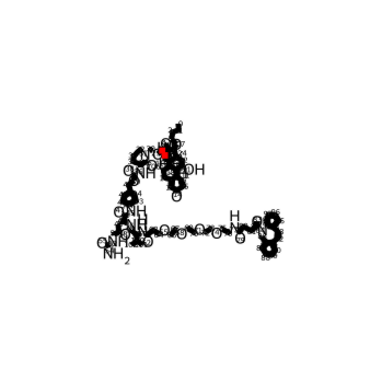 CCCC1O[C@@H]2C[C@H]3[C@@H]4CCC5=CC(=O)C=C[C@]5(C)[C@H]4[C@@H](O)C[C@]3(C)[C@]2(C(=O)COCN2CCCC(NC(=O)OCc3ccc(NC(=O)[C@H](CCCNC(N)=O)NC(=O)[C@@H](NC(=O)CCOCCOCCOCCOCCNC(=O)CCC(=O)N4Cc5ccccc5C#Cc5ccccc54)C(C)C)cc3)C2=O)O1